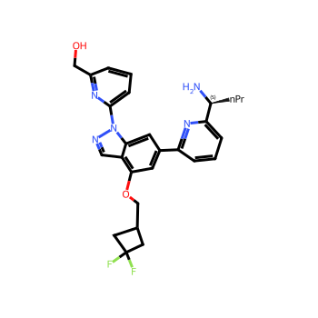 CCC[C@H](N)c1cccc(-c2cc(OCC3CC(F)(F)C3)c3cnn(-c4cccc(CO)n4)c3c2)n1